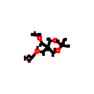 CC1(C)OCC(COP)(COI)CO1